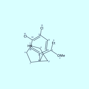 CCC(OC)C12CNCCC1(c1ccc(Cl)c(Cl)c1)C2